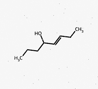 CCC=CC(O)CCC